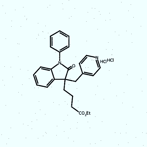 CCOC(=O)CCCC1(Cc2ccncc2)C(=O)N(c2ccccc2)c2ccccc21.Cl.Cl